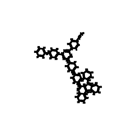 N#Cc1ccc(-c2nc(-c3ccc(-c4ccccc4)cc3)nc(-c3ccc(-c4ccc(-c5nc6ccccc6c6c7ccccc7n(-c7ccccc7)c56)cc4)cc3)n2)cc1